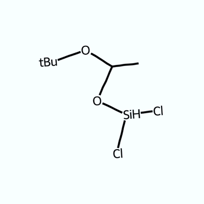 CC(O[SiH](Cl)Cl)OC(C)(C)C